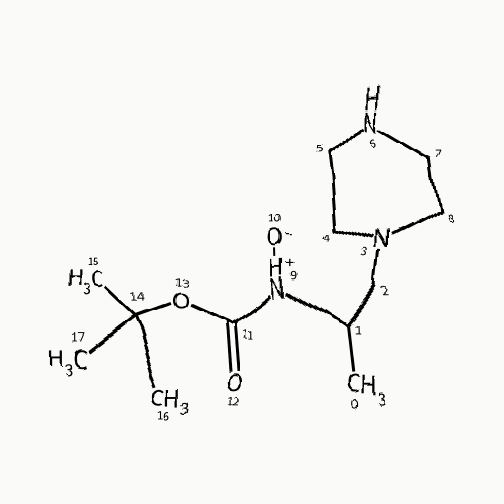 CC(CN1CCNCC1)[NH+]([O-])C(=O)OC(C)(C)C